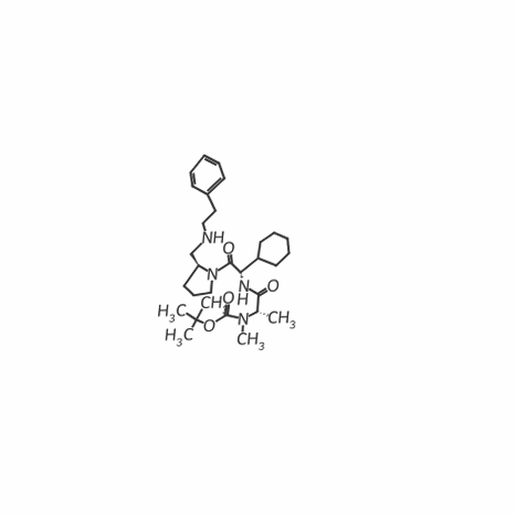 C[C@@H](C(=O)N[C@H](C(=O)N1CCC[C@H]1CNCCc1ccccc1)C1CCCCC1)N(C)C(=O)OC(C)(C)C